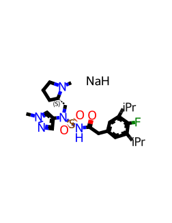 CC(C)c1cc(CC(=O)NS(=O)(=O)N(C[C@@H]2CCCN2C)c2cnn(C)c2)cc(C(C)C)c1F.[NaH]